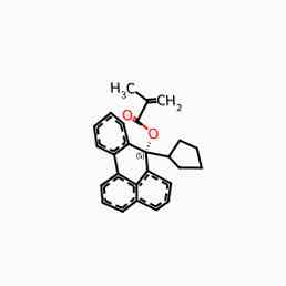 C=C(C)C(=O)O[C@@]1(C2CCCC2)c2ccccc2-c2cccc3cccc1c23